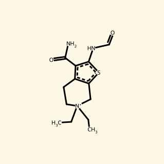 CC[N+]1(CC)CCc2c(sc(NC=O)c2C(N)=O)C1